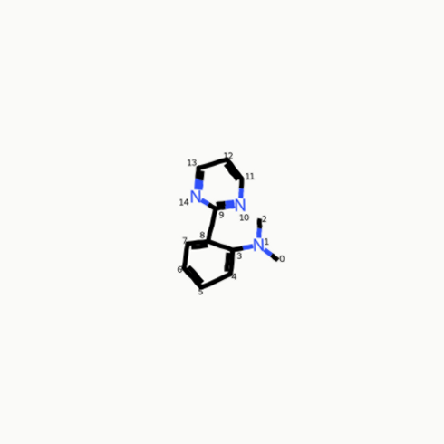 CN(C)c1ccccc1-c1ncccn1